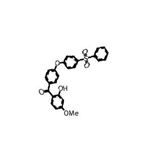 COc1ccc(C(=O)c2ccc(Oc3ccc(S(=O)(=O)c4ccccc4)cc3)cc2)c(O)c1